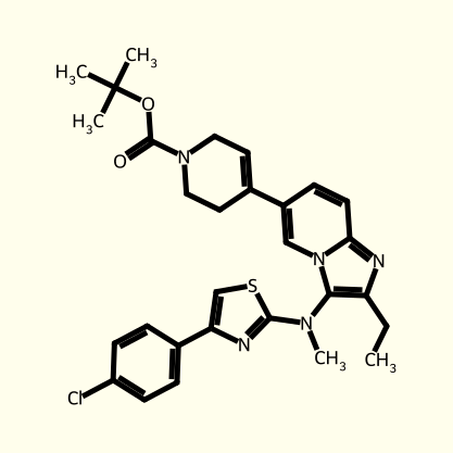 CCc1nc2ccc(C3=CCN(C(=O)OC(C)(C)C)CC3)cn2c1N(C)c1nc(-c2ccc(Cl)cc2)cs1